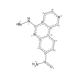 CCCCNc1nc2cc(C(N)=O)ccc2c2cnccc12